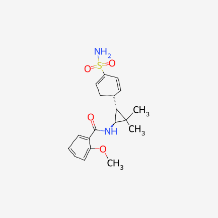 COc1ccccc1C(=O)N[C@H]1[C@H](C2C=CC(S(N)(=O)=O)=CC2)C1(C)C